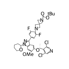 COc1cc2c(cc1O[C@H](C)c1c(Cl)cncc1Cl)c(-c1cc(F)c(N3CC4(CN(C(=O)OC(C)(C)C)C4)C3)c(F)c1)nn2C1CCCCO1